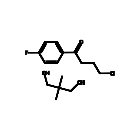 CC(C)(CO)CO.O=C(CCCCl)c1ccc(F)cc1